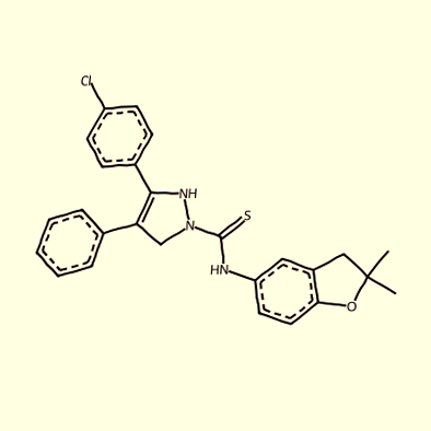 CC1(C)Cc2cc(NC(=S)N3CC(c4ccccc4)=C(c4ccc(Cl)cc4)N3)ccc2O1